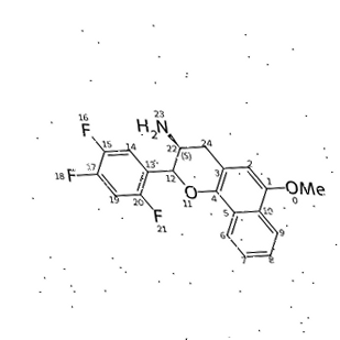 COc1cc2c(c3ccccc13)OC(c1cc(F)c(F)cc1F)[C@@H](N)C2